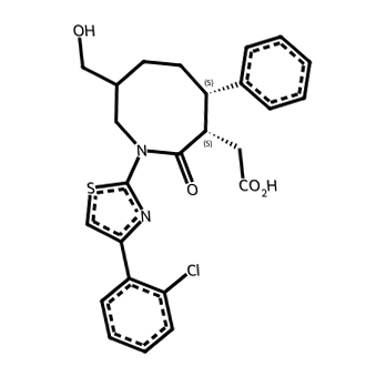 O=C(O)C[C@@H]1C(=O)N(c2nc(-c3ccccc3Cl)cs2)CC(CO)CC[C@@H]1c1ccccc1